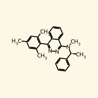 Cc1cc(C)c(-c2nnc(N(C)[C@@H](C)c3ccccc3)c3ccccc23)c(C)c1